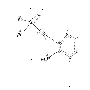 CC(C)[Si](C#Cc1nccnc1N)(C(C)C)C(C)C